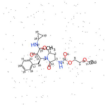 CC1C[C@H](NC(=O)OCCOC(C)(C)C)C(=O)N1[C@@H](Cc1ccccc1)C(=O)C(=O)NC1CC1